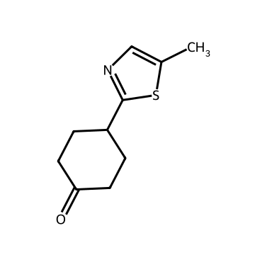 Cc1cnc(C2CCC(=O)CC2)s1